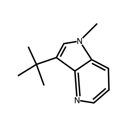 Cn1cc(C(C)(C)C)c2ncccc21